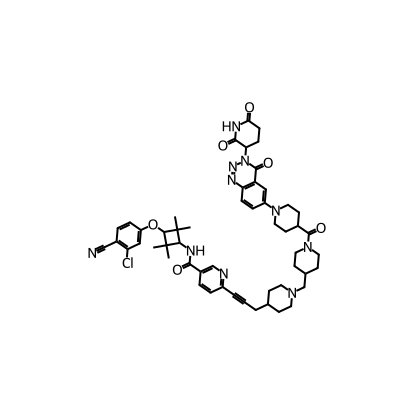 CC1(C)C(NC(=O)c2ccc(C#CCC3CCN(CC4CCN(C(=O)C5CCN(c6ccc7nnn(C8CCC(=O)NC8=O)c(=O)c7c6)CC5)CC4)CC3)nc2)C(C)(C)C1Oc1ccc(C#N)c(Cl)c1